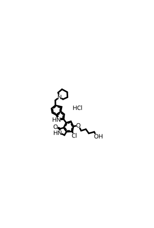 Cl.O=C1NCc2c(Cl)c(OCCCCO)cc(-c3cc4cc(CN5CCCCC5)ccc4[nH]3)c21